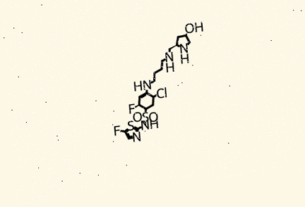 O=S(=O)(Nc1ncc(F)s1)C1CC(Cl)C(NCCCCNC[C@H]2C[C@H](O)CN2)=C[C@@H]1F